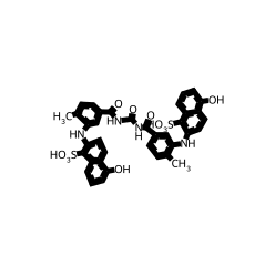 Cc1ccc(C(=O)NC(=O)NC(=O)c2ccc(C)c(Nc3ccc4c(O)cccc4c3S(=O)(=O)O)c2)cc1Nc1ccc2c(O)cccc2c1S(=O)(=O)O